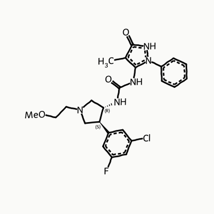 COCCN1C[C@H](NC(=O)Nc2c(C)c(=O)[nH]n2-c2ccccc2)[C@@H](c2cc(F)cc(Cl)c2)C1